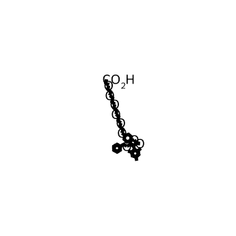 Cc1cc(C)c(C2=C(OCc3ccccc3)C3(CCC(OCCOCCOCCOCCOCCOCC(=O)O)CC3)OC2=O)c(C)c1